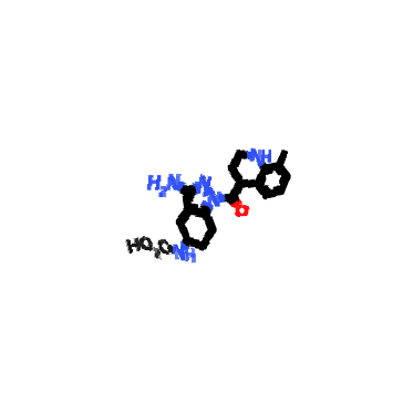 Cc1cccc2c1NCCC2C(=O)n1nc(N)c2c1CCC(NC(=O)O)C2